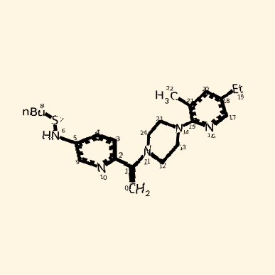 C=C(c1ccc(NSCCCC)cn1)N1CCN(c2ncc(CC)cc2C)CC1